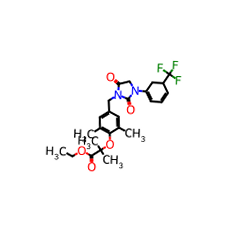 CCOC(=O)C(C)(C)Oc1c(C)cc(CN2C(=O)CN(C3=CC=CC(C(F)(F)F)C3)C2=O)cc1C